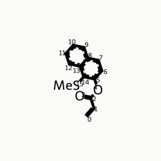 C=CC(=O)Oc1ccc2ccccc2c1SC